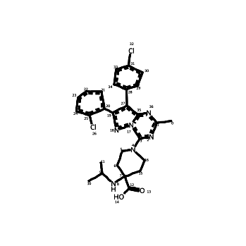 Cc1nc(N2CCC(NC(C)C)(C(=O)O)CC2)n2nc(-c3ccccc3Cl)c(-c3ccc(Cl)cc3)c2n1